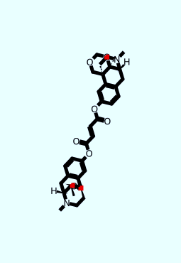 CN1CC[C@]23COCO[C@@]2(C)[C@H]1Cc1ccc(OC(=O)/C=C/C(=O)Oc2ccc4c(c2)[C@]25CCN(C)[C@H](C4)[C@]2(C)OCOC5)cc13